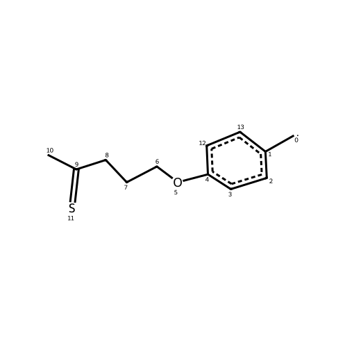 [CH2]c1ccc(OCCCC(C)=S)cc1